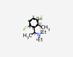 CCN(CC)C(C)c1c(F)ccc(F)c1C